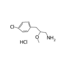 COC(CN)Cc1ccc(Cl)cc1.Cl